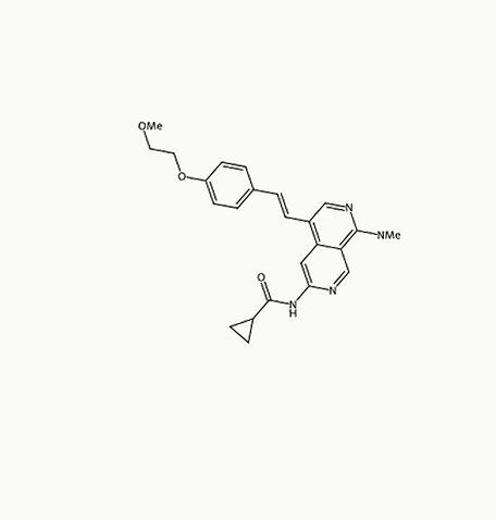 CNc1ncc(/C=C/c2ccc(OCCOC)cc2)c2cc(NC(=O)C3CC3)ncc12